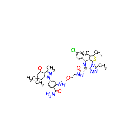 Cc1nn(-c2ccc(C(N)=O)c(NCCOCCNC(=O)C[C@@H]3N=C(c4ccc(Cl)cc4)c4c(sc(C)c4C)-n4c(C)nnc43)c2)c2c1C(=O)CC(C)(C)C2